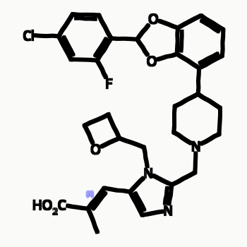 C/C(=C\c1cnc(CN2CCC(c3cccc4c3OC(c3ccc(Cl)cc3F)O4)CC2)n1CC1CCO1)C(=O)O